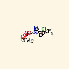 COC(=O)Cc1cc(OCCCNCC(Cc2cccc(C(F)(F)F)c2Cl)(c2ccccc2)c2ccccc2)no1